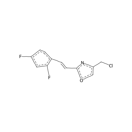 Fc1ccc(C=Cc2nc(CCl)co2)c(F)c1